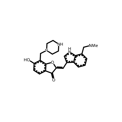 CNCc1cccc2c(/C=C3\Oc4c(ccc(O)c4CN4CCNCC4)C3=O)c[nH]c12